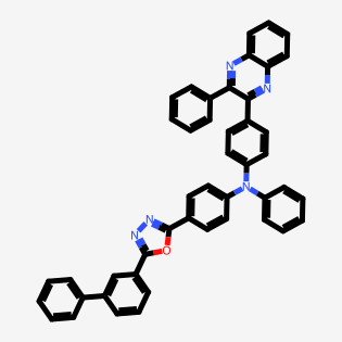 c1ccc(-c2cccc(-c3nnc(-c4ccc(N(c5ccccc5)c5ccc(-c6nc7ccccc7nc6-c6ccccc6)cc5)cc4)o3)c2)cc1